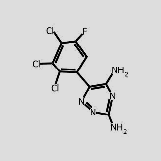 Nc1nnc(-c2cc(F)c(Cl)c(Cl)c2Cl)c(N)n1